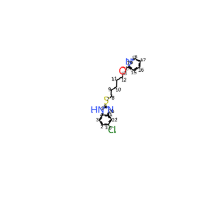 Clc1ccc2[nH]c(SCCCCCOc3ccccn3)nc2c1